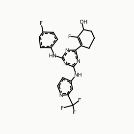 OC1CCCC(c2nc(Nc3ccc(F)cc3)nc(Nc3ccnc(C(F)(F)F)c3)n2)=C1F